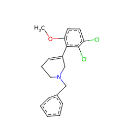 COc1ccc(Cl)c(Cl)c1C1=CCCN(Cc2ccccc2)C1